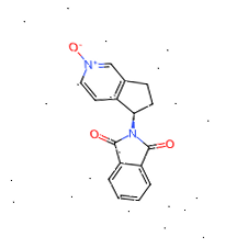 O=C1c2ccccc2C(=O)N1[C@@H]1CCc2c[n+]([O-])ccc21